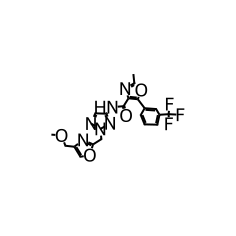 COCc1coc(Cn2ncc(NC(=O)c3nc(C)oc3-c3cccc(C(F)(F)F)c3)n2)n1